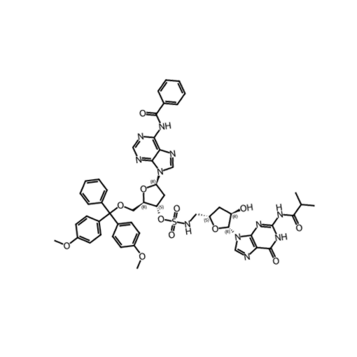 COc1ccc(C(OC[C@H]2O[C@@H](n3cnc4c(NC(=O)c5ccccc5)ncnc43)C[C@@H]2OS(=O)(=O)NC[C@@H]2C[C@@H](O)[C@H](n3cnc4c(=O)[nH]c(NC(=O)C(C)C)nc43)O2)(c2ccccc2)c2ccc(OC)cc2)cc1